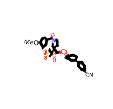 COc1ccc(C(=O)N2CCC(COc3ccc(-c4ccc(C#N)cc4)cc3)(C3(O)CS(=O)(=O)C3)C2)cc1